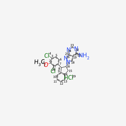 COc1c(Cl)ccc(C2c3ccccc3CC2n2cc3c(N)ncnc3n2)c1Cl.Cl